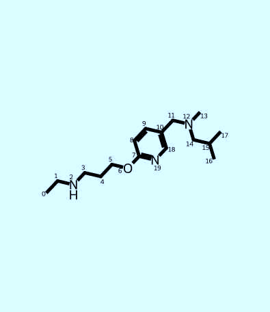 CCNCCCOc1ccc(CN(C)CC(C)C)cn1